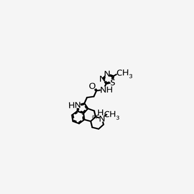 Cc1nnc(NC(=O)CCc2[nH]c3cccc4c3c2C[C@@H]2C4CCCN2C)s1